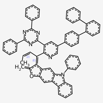 C=c1oc2cc3c4ccccc4n(-c4ccccc4)c3cc2/c1=C(/C=C\C)c1ncc(-c2ccc(-c3ccccc3-c3ccccc3)cc2)cc1-c1nc(-c2ccccc2)nc(-c2ccccc2)n1